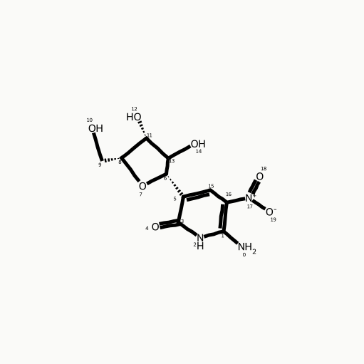 Nc1[nH]c(=O)c([C@@H]2O[C@H](CO)[C@H](O)C2O)cc1[N+](=O)[O-]